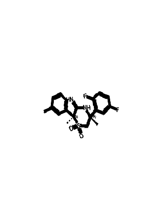 Cc1cccc([C@@]2(C)C(=N)N[C@](C)(c3cc(F)ccc3F)CS2(=O)=O)c1